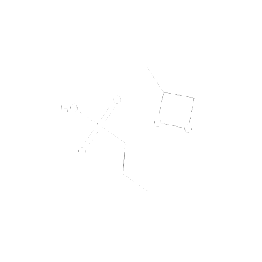 CC1COO1.CCCS(=O)(=O)O